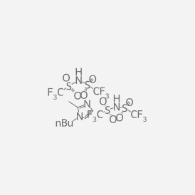 CCCCn1ccnc1C.O=S(=O)(NS(=O)(=O)C(F)(F)F)C(F)(F)F.O=S(=O)(NS(=O)(=O)C(F)(F)F)C(F)(F)F